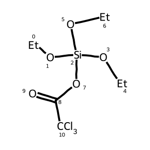 CCO[Si](OCC)(OCC)OC(=O)C(Cl)(Cl)Cl